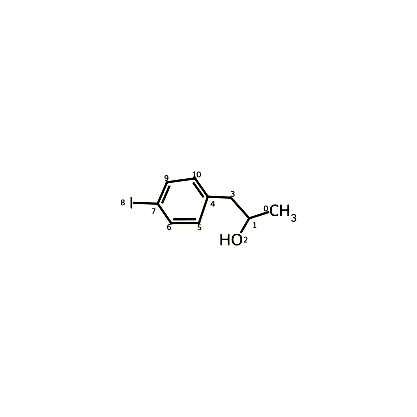 CC(O)Cc1ccc(I)cc1